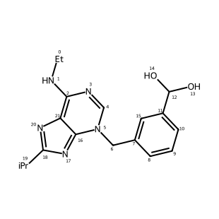 CCNc1ncn(Cc2cccc(C(O)O)c2)c2nc(C(C)C)nc1-2